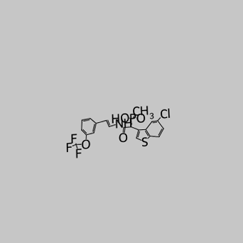 CP(=O)(O)C(C(=O)N/C=C/c1cccc(OC(F)(F)F)c1)c1csc2ccc(Cl)cc12